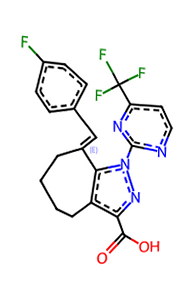 O=C(O)c1nn(-c2nccc(C(F)(F)F)n2)c2c1CCCC/C2=C\c1ccc(F)cc1